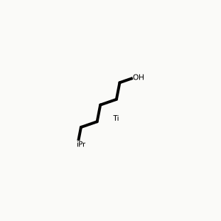 CC(C)CCCCCO.[Ti]